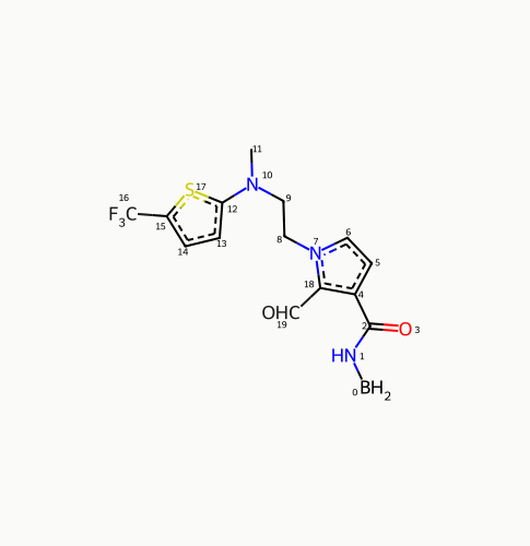 BNC(=O)c1ccn(CCN(C)c2ccc(C(F)(F)F)s2)c1C=O